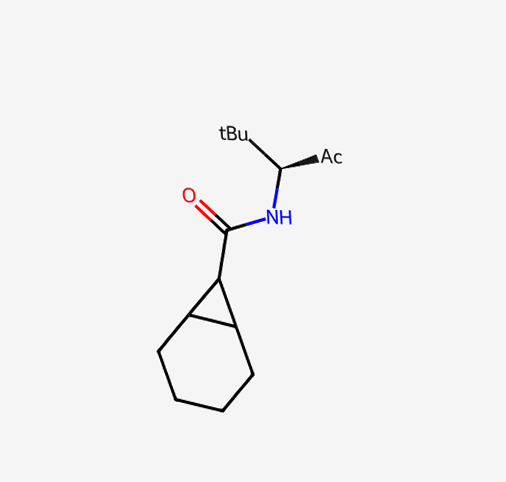 CC(=O)[C@@H](NC(=O)C1C2CCCCC21)C(C)(C)C